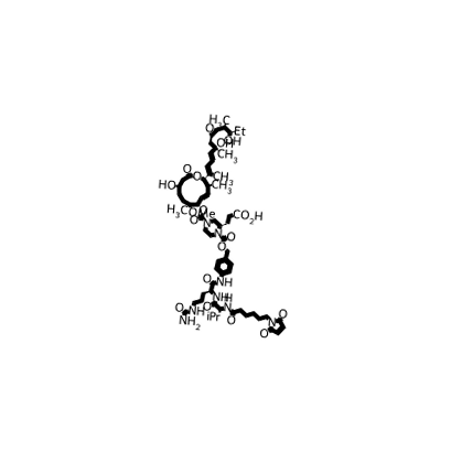 CC[C@H](O)[C@@H](C)[C@H]1O[C@@H]1C[C@@](C)(O)/C=C/C=C(\C)[C@H]1OC(=O)C[C@H](O)CC[C@@](C)(OC)[C@@H](OC(=O)N2CCN(C(=O)OCc3ccc(NC(=O)[C@H](CCCNC(N)=O)NC(=O)[C@@H](NC(=O)CCCCCN4C(=O)C=CC4=O)C(C)C)cc3)[C@@H](CCC(=O)O)C2)/C=C/[C@@H]1C